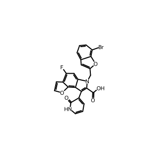 O=C(O)c1c(-c2ccc[nH]c2=O)c2c3occc3c(F)cc2n1Cc1cc2cccc(Br)c2o1